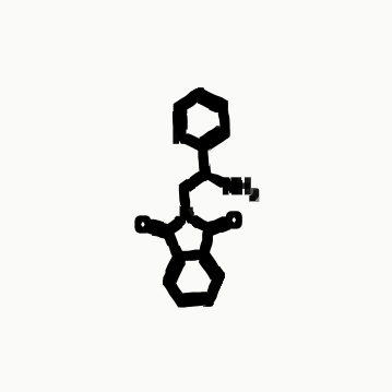 N[C@@H](CN1C(=O)c2ccccc2C1=O)c1ccccn1